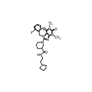 Cn1c(=O)c2c(nc(N3CCCC(C(=O)NCCN4CCCC4)C3)n2Cc2c(F)cccc2Cl)n(C)c1=O